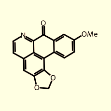 COc1ccc2c(c1)C(=O)c1nccc3cc4c(c-2c13)OCO4